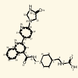 O=C(O)NC[C@H]1CC[C@H](CNC(=O)c2cc(-c3ccc(N4CNC(=O)C4)nc3)nc3ccccc23)CC1